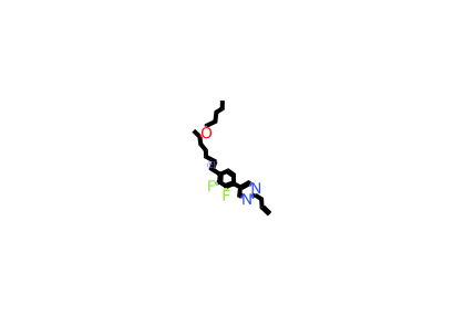 C=CCc1ncc(-c2ccc(/C=C/CCCC(C)OCCCCC)c(F)c2F)cn1